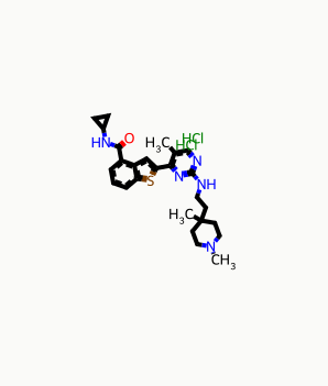 Cc1cnc(NCCC2(C)CCN(C)CC2)nc1-c1cc2c(C(=O)NC3CC3)cccc2s1.Cl.Cl